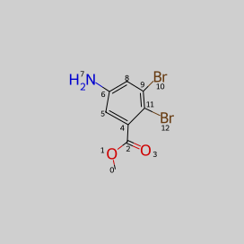 COC(=O)c1cc(N)cc(Br)c1Br